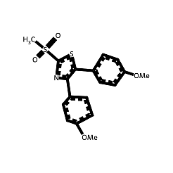 COc1ccc(-c2nc(S(C)(=O)=O)sc2-c2ccc(OC)cc2)cc1